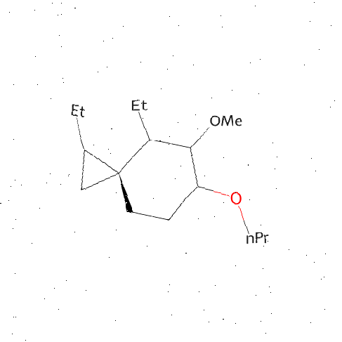 CCCOC1CC[C@]2(CC2CC)C(CC)C1OC